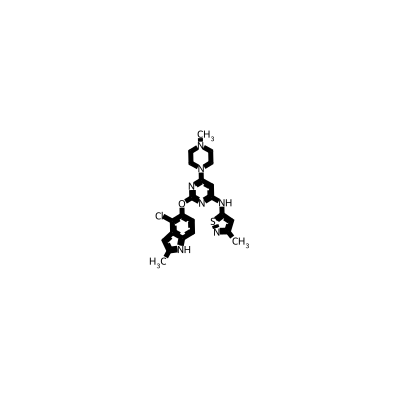 Cc1cc(Nc2cc(N3CCN(C)CC3)nc(Oc3ccc4[nH]c(C)cc4c3Cl)n2)sn1